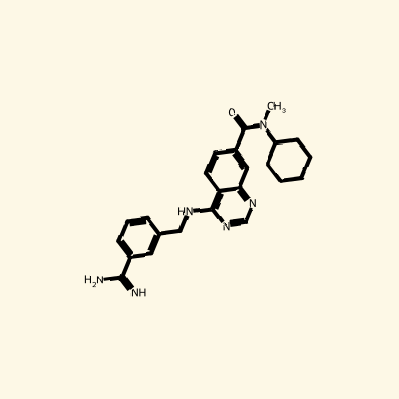 CN(C(=O)c1ccc2c(NCc3cccc(C(=N)N)c3)ncnc2c1)C1CCCCC1